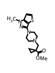 COC(=O)C1(CN2CCN(c3nn(C)c4ccsc34)CC2)CC1